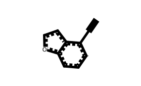 C#Cc1[c]ccc2occc12